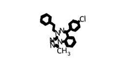 Cc1nnc2n1-c1ccccc1C(c1ccc(Cl)cc1)=NN2CCc1ccccc1